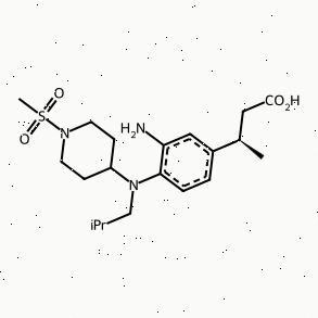 CC(C)CN(c1ccc([C@H](C)CC(=O)O)cc1N)C1CCN(S(C)(=O)=O)CC1